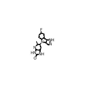 Cc1nc2[nH]c(=O)[nH]c2cc1-n1c2ccc(F)cc2c2[nH]ncc21